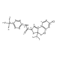 CC(C)C12COc3cc(Cl)ccc3C1=NN(C(=O)Nc1ccc(C(F)(F)F)cc1)C2